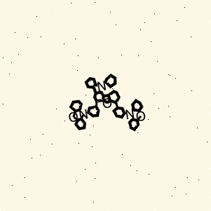 c1ccc(-n2c3ccccc3c3cc(-c4cccc(N5c6ccccc6Oc6ccccc65)c4)c4oc5c(-c6cccc(N7c8ccccc8Oc8ccccc87)c6)cccc5c4c32)cc1